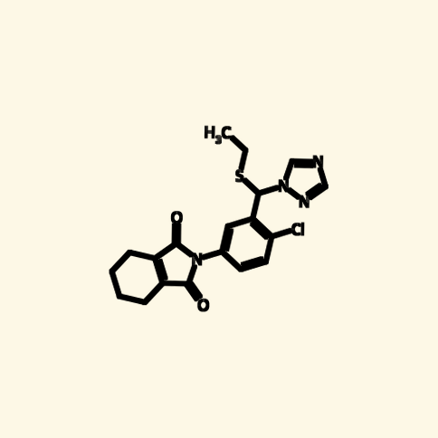 CCSC(c1cc(N2C(=O)C3=C(CCCC3)C2=O)ccc1Cl)n1cncn1